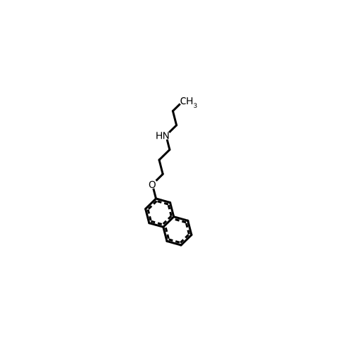 CCCNCCCOc1ccc2ccccc2c1